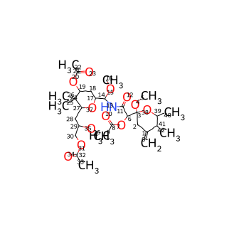 C=C1CC(OC)(C(OC(C)=O)C(=O)NC(OC)C2CC(OC(C)=O)C(C)(C)C(CC(COC(C)=O)OC)O2)OC(C)C1C